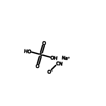 N#C[O-].O=S(=O)(O)O.[Na+]